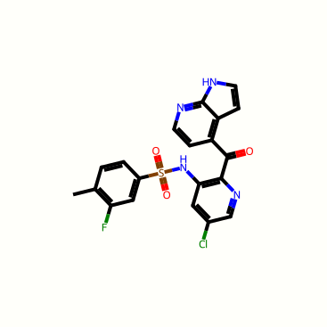 Cc1ccc(S(=O)(=O)Nc2cc(Cl)cnc2C(=O)c2ccnc3[nH]ccc23)cc1F